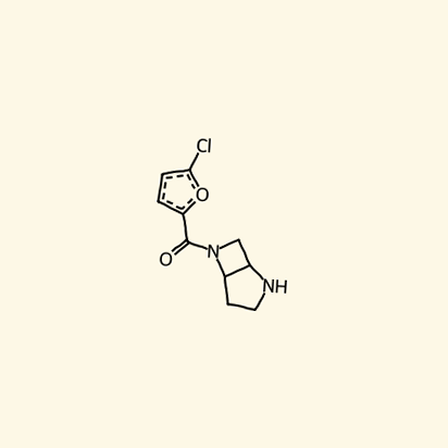 O=C(c1ccc(Cl)o1)N1CC2NCCC21